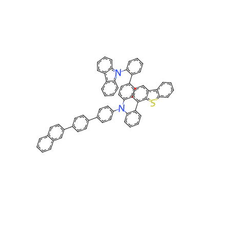 c1ccc(N(c2ccc(-c3ccc(-c4ccc5ccccc5c4)cc3)cc2)c2ccc(-c3ccccc3-n3c4ccccc4c4ccccc43)cc2)c(-c2cccc3c2sc2ccccc23)c1